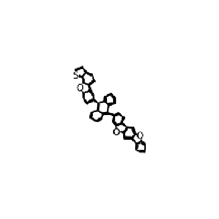 c1ccc2c(c1)oc1cc3c(cc12)oc1cc(-c2c4ccccc4c(-c4ccc5oc6c(ccc7ccsc76)c5c4)c4ccccc24)ccc13